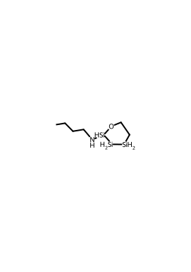 CCCCN[SiH]1OCC[SiH2][SiH2]1